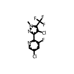 Cn1nc(-c2ncc(Cl)cc2F)c(Cl)c1C(F)(F)F